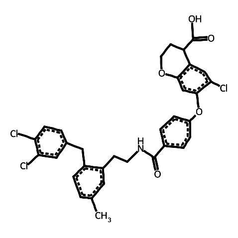 Cc1ccc(Cc2ccc(Cl)c(Cl)c2)c(CCNC(=O)c2ccc(Oc3cc4c(cc3Cl)C(C(=O)O)CCO4)cc2)c1